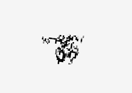 Cc1cncc([C@@H]2CCCN2C)c1.O=C(O)CC(O)(CC(=O)O)C(=O)O